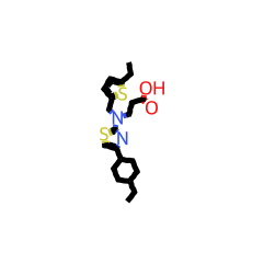 CCc1ccc(CN(CCC(=O)O)c2nc(C3CCC(CC)CC3)cs2)s1